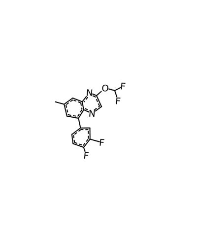 Cc1cc(-c2ccc(F)c(F)c2)c2ncc(OC(F)F)nc2c1